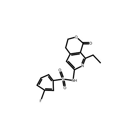 CCc1nc(NS(=O)(=O)c2cccc(F)c2)cc2c1C(=O)OCC2